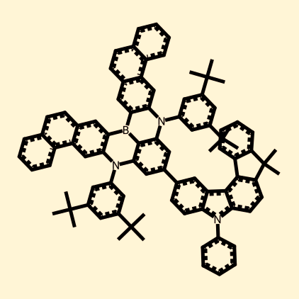 CC(C)(C)c1cc(N2c3cc4c(ccc5ccccc54)cc3B3c4cc5ccc6ccccc6c5cc4N(c4cc(C(C)(C)C)cc(C(C)(C)C)c4)c4cc(-c5ccc6c(c5)c5c7c(ccc5n6-c5ccccc5)C(C)(C)c5ccccc5-7)cc2c43)cc(C(C)(C)C)c1